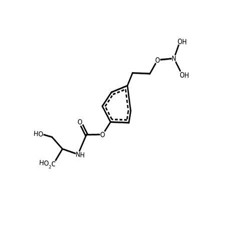 O=C(NC(CO)C(=O)O)Oc1ccc(CCON(O)O)cc1